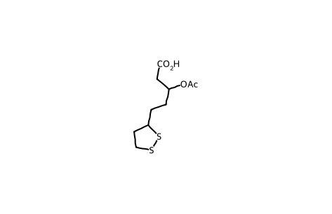 CC(=O)OC(CCC1CCSS1)CC(=O)O